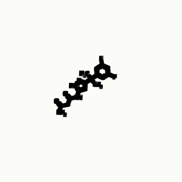 CC(C)(c1cc(F)cc(F)c1)c1cc(NC(=O)[CH]C(N)=O)[nH]n1